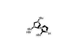 Br.CC(C)(C)N1C=CN(C(C)(C)C)C1.CCCCc1ncc[nH]1.I